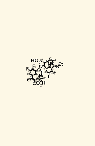 CCN=c1c2c(F)c(F)cc3c(=O)c(C(=O)O)c4scc1n4c32.O=C(O)c1c(=O)c2cc(F)c(F)c3c2n2c(csc12)CO3